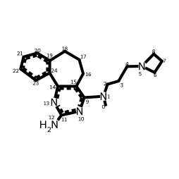 CN(CCCN1CCC1)c1nc(N)nc2c1CCCc1ccccc1-2